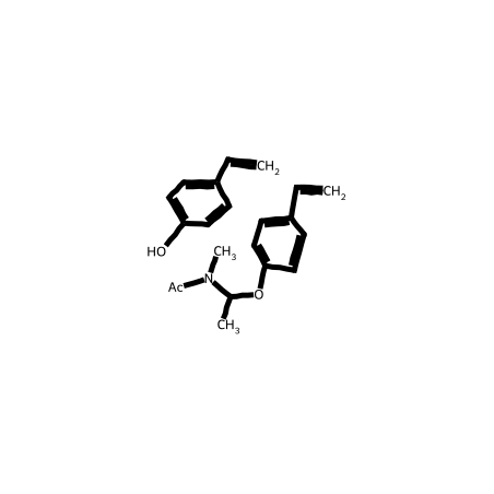 C=Cc1ccc(O)cc1.C=Cc1ccc(OC(C)N(C)C(C)=O)cc1